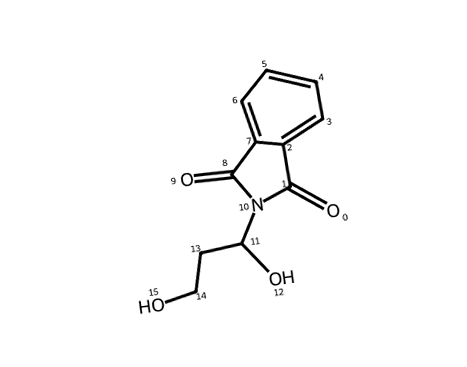 O=C1c2ccccc2C(=O)N1C(O)CCO